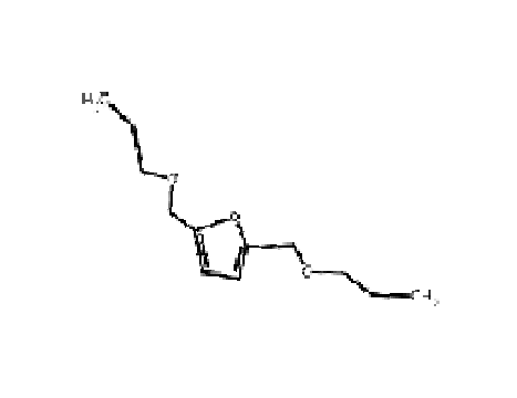 CCCOCc1ccc(COCCC)o1